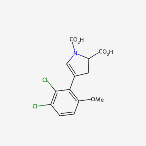 COc1ccc(Cl)c(Cl)c1C1=CN(C(=O)O)C(C(=O)O)C1